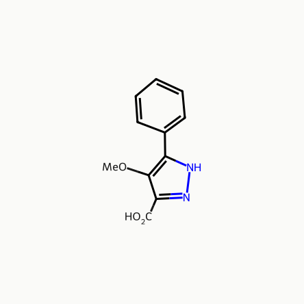 COc1c(C(=O)O)n[nH]c1-c1ccccc1